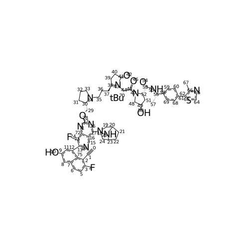 C#Cc1c(F)ccc2cc(O)cc(-c3ncc4c(N5CC6CCC(C5)N6)nc(OC[C@@H]5CCCN5CCC[C@H]5CCC(=O)N5[C@H](C(=O)N5C[C@H](O)C[C@H]5C(=O)N[C@@H](C)c5ccc(-c6scnc6C)cc5)C(C)(C)C)nc4c3F)c12